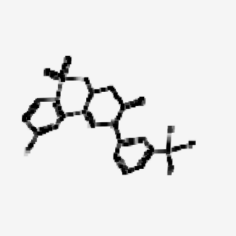 O=C1CC2CS(=O)(=O)c3ccc(F)cc3C2=NN1c1cccc(C(F)(F)F)c1